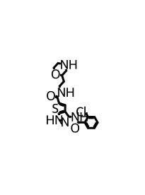 O=C(NCCC1CNCCO1)c1cc2c(NC(=O)c3ccccc3Cl)n[nH]c2s1